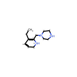 CCC1=C(CN2CCNCC2)NCC=C1